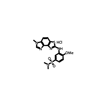 COc1ccc(S(=O)(=O)N(C)C)cc1Nc1nc2c(ccc3c2ncn3C)s1.Cl